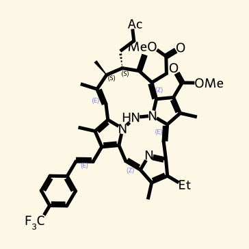 C=C1/C(CC(=O)OC)=c2/c(C(=O)OC)c(C)/c3n2Nn2c(c(/C=C/c4ccc(C(F)(F)F)cc4)c(C)c2/C=C(\C)[C@@H](C)[C@@H]1CCC(C)=O)/C=C1N=C(/C=3)C(CC)=C\1C